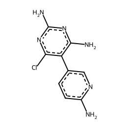 Nc1ccc(-c2c(N)nc(N)nc2Cl)cn1